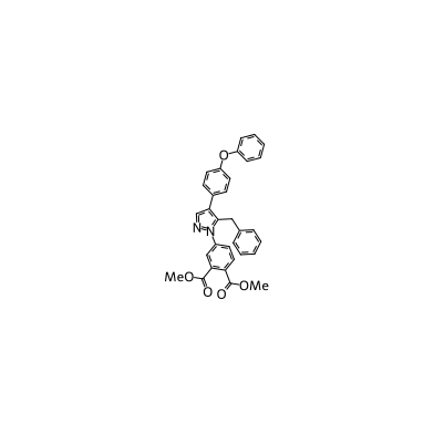 COC(=O)c1ccc(-n2ncc(-c3ccc(Oc4ccccc4)cc3)c2Cc2ccccc2)cc1C(=O)OC